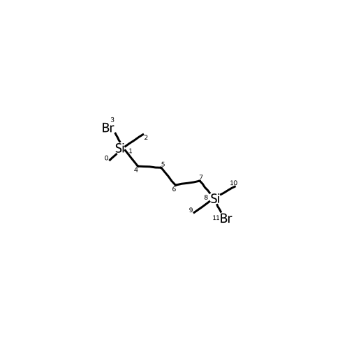 C[Si](C)(Br)CCCC[Si](C)(C)Br